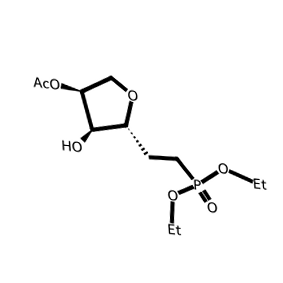 CCOP(=O)(CC[C@H]1OC[C@H](OC(C)=O)[C@@H]1O)OCC